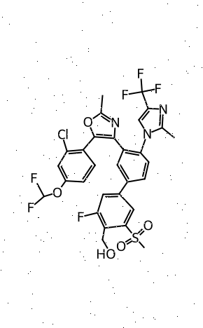 Cc1nc(-c2cc(-c3cc(F)c(CO)c(S(C)(=O)=O)c3)ccc2-n2cc(C(F)(F)F)nc2C)c(-c2ccc(OC(F)F)cc2Cl)o1